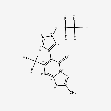 Cc1nn2c(=O)c(-c3cnn(CC(F)(F)C(F)(F)F)c3)c(C(F)(F)F)nc2s1